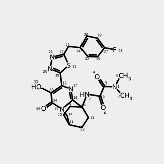 CN(C)C(=O)C(=O)NC12CCC(CC1)Cn1c2nc(-c2nnc(Cc3ccc(F)cc3)s2)c(O)c1=O